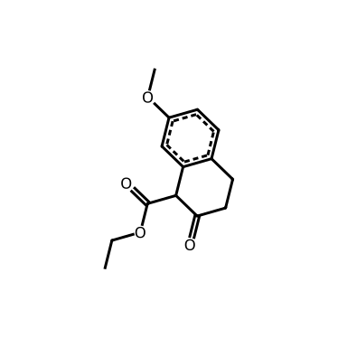 CCOC(=O)C1C(=O)CCc2ccc(OC)cc21